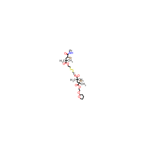 CC(C)NC(=O)C(Br)CC(C)(C)C(=O)OCCSSCCOC(=O)C(C)(C)CC(C)(Br)C(=O)OCCOC1CCCCO1